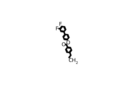 C=CCc1ccc(C(=O)Oc2ccc(-c3ccc(F)c(F)c3)cc2)cc1